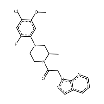 COc1cc(N2CCN(C(=O)Cn3ncc4cccnc43)C(C)C2)c(F)cc1Cl